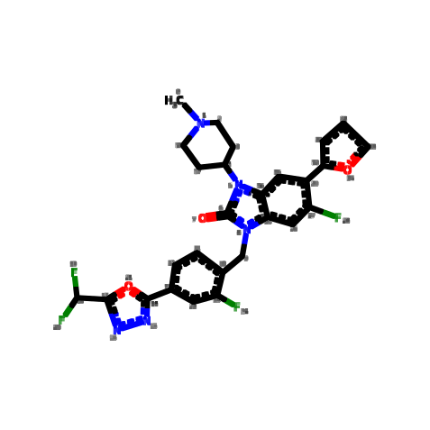 CN1CCC(n2c(=O)n(Cc3ccc(-c4nnc(C(F)F)o4)cc3F)c3cc(F)c(-c4ccco4)cc32)CC1